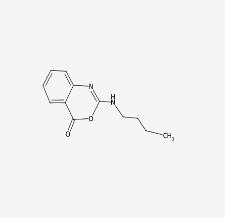 CCCCNc1nc2ccccc2c(=O)o1